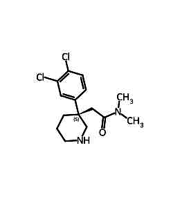 CN(C)C(=O)C[C@]1(c2ccc(Cl)c(Cl)c2)CCCNC1